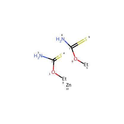 CCOC(N)=S.CCOC(N)=S.[Zn]